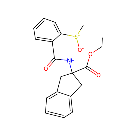 CCOC(=O)C1(NC(=O)c2ccccc2[S+](C)[O-])Cc2ccccc2C1